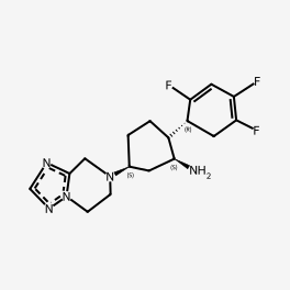 N[C@H]1C[C@@H](N2CCn3ncnc3C2)CCC1[C@H]1CC(F)=C(F)C=C1F